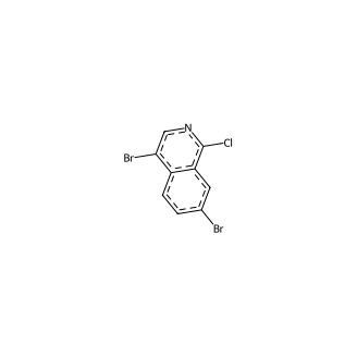 Clc1ncc(Br)c2ccc(Br)cc12